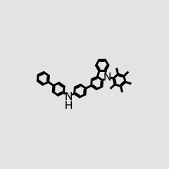 Cc1c(C)c(C)c(-n2c3ccccc3c3cc(-c4ccc(Nc5ccc(-c6ccccc6)cc5)cc4)ccc32)c(C)c1C